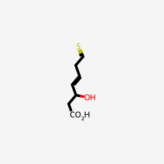 O=C(O)CC(O)/C=C/CC=S